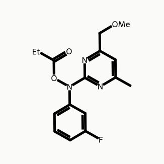 CCC(=O)ON(c1cccc(F)c1)c1nc(C)cc(COC)n1